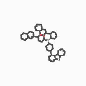 c1ccc(N(c2ccc(-c3ccc4ccccc4c3)cc2)c2ccc(-c3cccc4sc5ccccc5c34)cc2)c(-c2ccc3ccccc3c2)c1